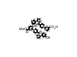 COC(=O)c1ccnc(N2CCC(C(=O)N3OCC[C@H]3c3cncc(C#N)c3)CC2)n1.N#Cc1cncc([C@@H]2CCON2C(=O)C2CCN(c3nccc(C(=O)O)n3)CC2)c1